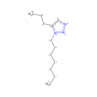 CCCCCCCn1nncc1CCC